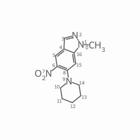 Cn1ncc2cc([N+](=O)[O-])c(N3CCCCC3)cc21